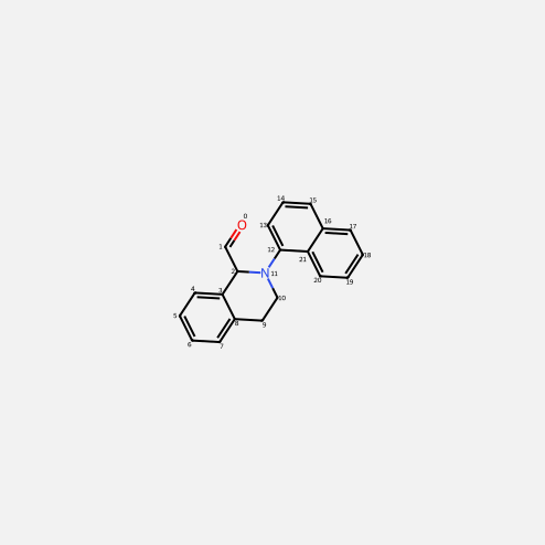 O=CC1c2ccccc2CCN1c1cccc2ccccc12